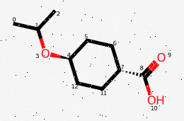 CC(C)O[C@H]1CC[C@H](C(=O)O)CC1